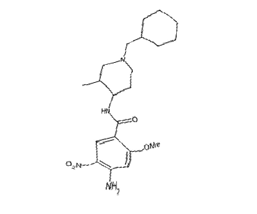 COc1cc(N)c([N+](=O)[O-])cc1C(=O)NC1CCN(CC2CCCCC2)CC1C